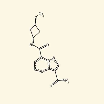 CO[C@H]1C[C@@H](NC(=O)c2ccnc3c(C(N)=O)cnn23)C1